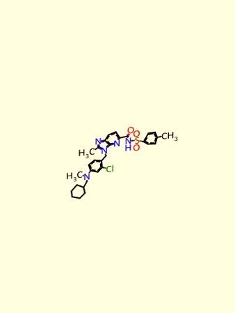 Cc1ccc(S(=O)(=O)NC(=O)c2ccc3nc(C)n(Cc4ccc(N(C)CC5CCCCC5)cc4Cl)c3n2)cc1